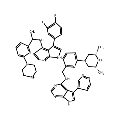 CC(Nc1ccnc2[nH]cc(-c3ccc(F)c(F)c3)c12)c1cccc(N2CCNCC2)n1.C[C@@H]1CN(c2cccc(CNc3ncnc4[nH]cc(-c5ccnnc5)c34)n2)C[C@H](C)N1